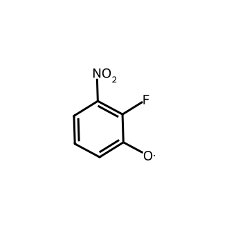 [O]c1cccc([N+](=O)[O-])c1F